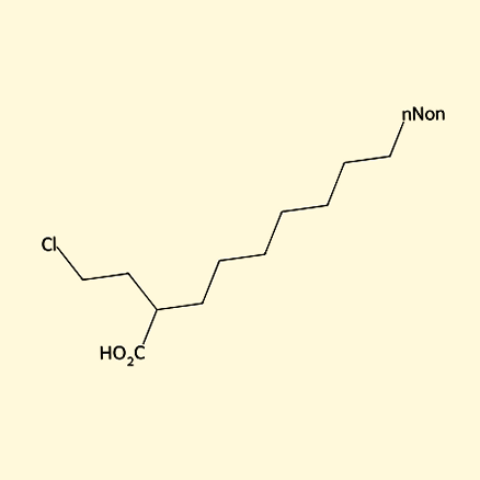 CCCCCCCCCCCCCCCCC(CCCl)C(=O)O